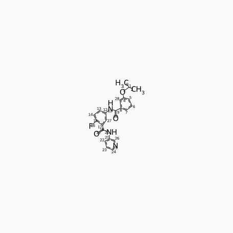 CC(C)Oc1cccc(C(=O)Nc2ccc(F)c(C(=O)Nc3cccnc3)c2)c1